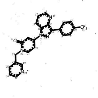 O=c1cc(-n2nc(-c3ccc(C(F)(F)F)cc3)c3ncccc32)ccn1Cc1cccnc1